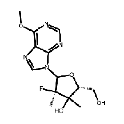 COc1ncnc2c1ncn2C1O[C@H](CO)C(C)(O)[C@@]1(C)F